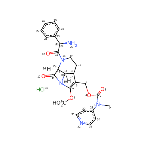 CN(C(=O)OCC1=C(OC(=O)O)N2C(=O)[C@@H]3[C@H]2C1CCN3C(=O)[C@H](N)c1ccccc1)c1ccncc1.Cl